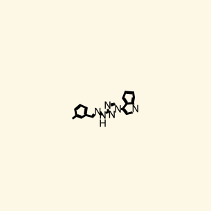 Cc1cccc(C=NNc2ncn(-c3ccnc4ccccc34)n2)c1